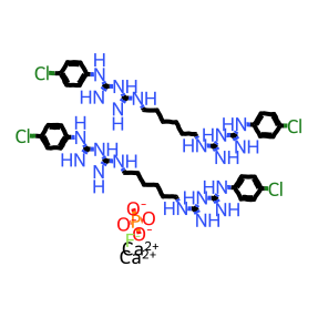 N=C(NCCCCCCNC(=N)NC(=N)Nc1ccc(Cl)cc1)NC(=N)Nc1ccc(Cl)cc1.N=C(NCCCCCCNC(=N)NC(=N)Nc1ccc(Cl)cc1)NC(=N)Nc1ccc(Cl)cc1.O=P([O-])([O-])[O-].[Ca+2].[Ca+2].[F-]